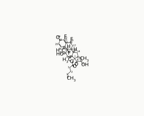 CCCCC(=O)O[C@]1(C(=O)CO)[C@@H](C)C[C@H]2[C@@H]3C[C@H](F)C4=C(F)C(=O)C=C[C@]4(C)[C@@]3(F)[C@@H](O)C[C@@]21C